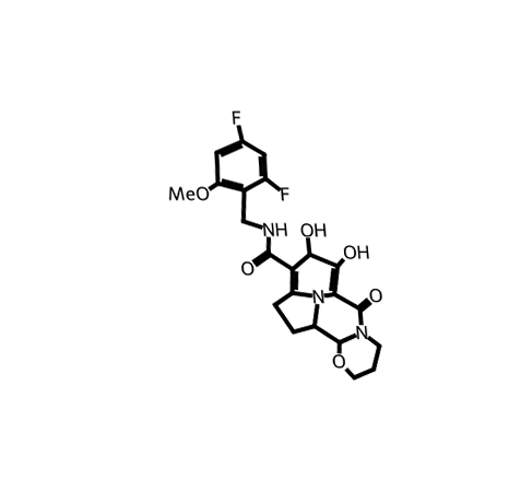 COc1cc(F)cc(F)c1CNC(=O)C1=C2CCC3C4OCCCN4C(=O)C(=C(O)C1O)N23